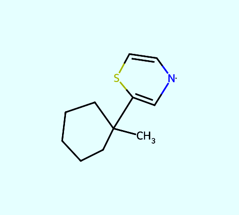 CC1(C2=C[N]C=CS2)CCCCC1